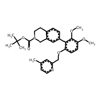 COc1ccc(OCc2cc(C)ccn2)c(-c2ccc3c(c2)CN(C(=O)OC(C)(C)C)CC3)c1OC